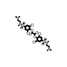 CN(C)CCN(C)S(=O)(=O)c1cc(Cl)c(OC(=O)C(=O)Oc2c(Cl)cc(S(=O)(=O)N(C)CCN(C)C)cc2Cl)c(Cl)c1